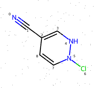 N#CC1=CNN(Cl)C=C1